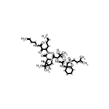 C=CCCNC(=O)C(=O)C(CCC=C)NC(=O)[C@@H]1[C@@H]2[C@H](CN1C(=O)[C@@H](NC(=O)NC1(CS(=O)(=O)CCC(C)C)CCCCC1)C(C)(C)C)C2(C)C